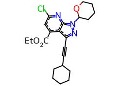 CCOC(=O)c1cc(Cl)nc2c1c(C#CC1CCCCC1)nn2C1CCCCO1